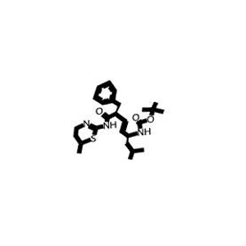 CC(C)C[C@@H](/C=C/[C@H](Cc1ccccc1)C(=O)NC1=NCCC(C)S1)NC(=O)OC(C)(C)C